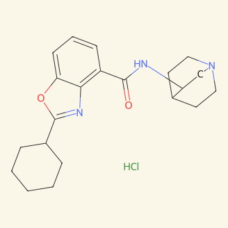 Cl.O=C(NC1CN2CCC1CC2)c1cccc2oc(C3CCCCC3)nc12